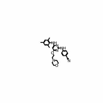 Cc1cc(C)c(Nc2cc(OCCN3CCOCC3)nc(Nc3ccc(C#N)cc3)n2)c(C)c1